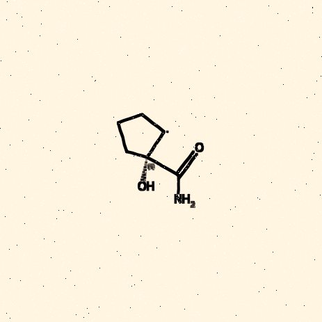 NC(=O)[C@]1(O)[CH]CCC1